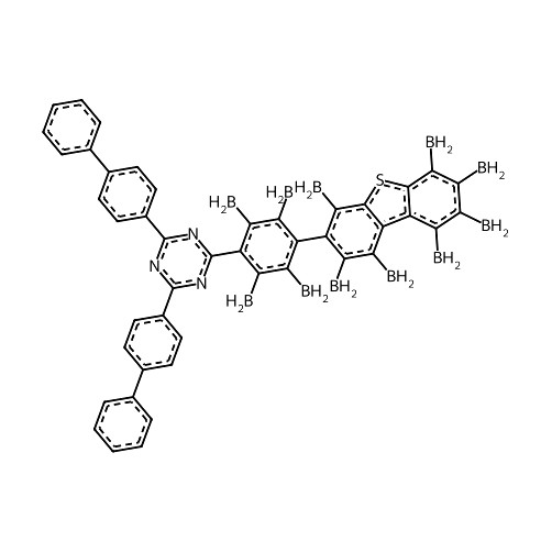 Bc1c(B)c(-c2c(B)c(B)c3c(sc4c(B)c(B)c(B)c(B)c43)c2B)c(B)c(B)c1-c1nc(-c2ccc(-c3ccccc3)cc2)nc(-c2ccc(-c3ccccc3)cc2)n1